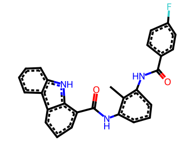 Cc1c(NC(=O)c2ccc(F)cc2)cccc1NC(=O)c1cccc2c1[nH]c1ccccc12